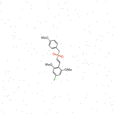 COc1ccc(CS(=O)(=O)/C=C/c2c(OC)cc(F)cc2OC)cc1